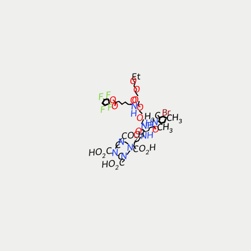 CCOCCOCCOCC(NC(=O)CCCCC(=O)Oc1c(F)c(F)cc(F)c1F)OCCOCCNC(=O)[C@@H](CCC(=O)Nc1c(C)cc(C)c(Br)c1C)NC(=O)CCC(C(=O)O)N1CCN(CC(=O)O)CCN(CC(=O)O)CCN(CC(=O)O)CC1